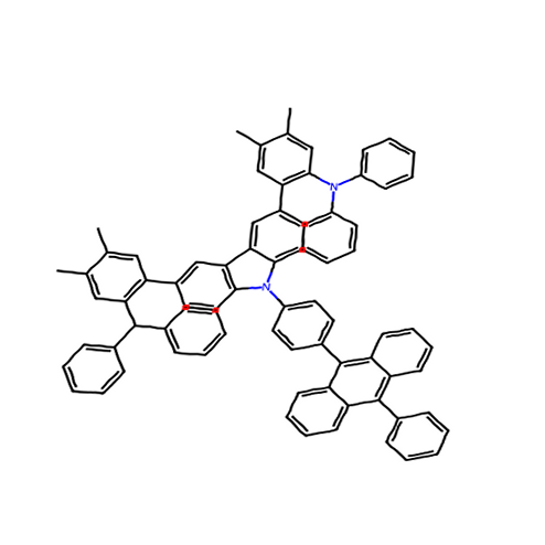 Cc1cc(-c2ccc3c(c2)c2cc(-c4cc(C)c(C)cc4N(c4ccccc4)c4ccccc4)ccc2n3-c2ccc(-c3c4ccccc4c(-c4ccccc4)c4ccccc34)cc2)c(C(c2ccccc2)c2ccccc2)cc1C